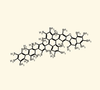 Bc1c(B)c(B)c(-c2c(B)c(B)c(-c3c(B)c(B)c(-c4c5c(B)c(B)c(B)c(B)c5c(-c5c(B)c(B)c6oc7c8c(B)c(B)c(B)c(B)c8c(B)c(B)c7c6c5B)c5c(B)c(B)c(B)c(B)c45)c(B)c3B)c(B)c2B)c(B)c1B